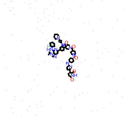 CC(C)n1cnc2cc(-c3ccc4c(c3)N([C@H]3C[C@@H](N5CCCCC5)C3)C(=O)C43CCN(C(=O)C4CCN(C(=O)[C@H]5CC[C@H](N(C)c6ccc(C7CCC(=O)NC7=O)cn6)CC5)CC4)CC3)nc(Nc3ccccc3F)c21